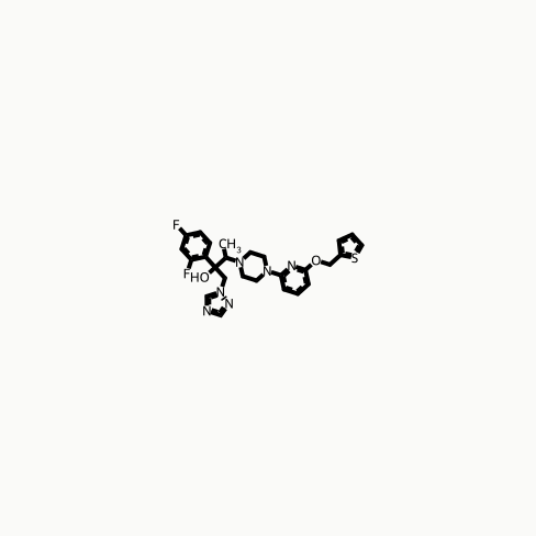 CC(N1CCN(c2cccc(OCc3cccs3)n2)CC1)C(O)(Cn1cncn1)c1ccc(F)cc1F